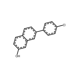 Oc1ccc2ccc(-c3ccc(Cl)cc3)cc2c1